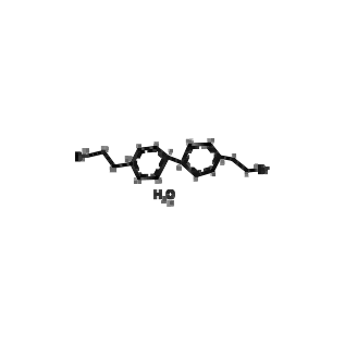 BrCCc1ccc(-c2ccc(CCBr)cc2)cc1.O